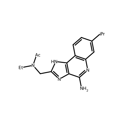 CCN(Cc1nc2c(N)nc3cc(C(C)C)ccc3c2[nH]1)C(C)=O